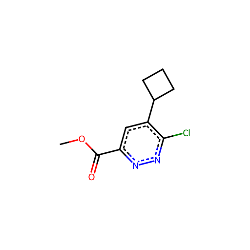 COC(=O)c1cc(C2CCC2)c(Cl)nn1